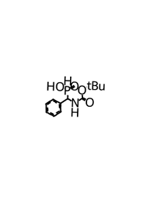 CC(C)(C)OC(=O)NC(c1ccccc1)[PH](=O)O